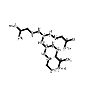 CCCCCCC(C)CNBN(BNCC(CC)CCCCCC)BN(BNCC(C)CCC)BNCC(C)CCCCC